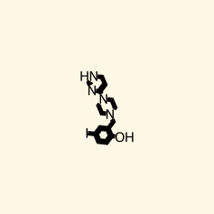 Oc1ccc(I)cc1CN1CCN(C2=CCNC=N2)CC1